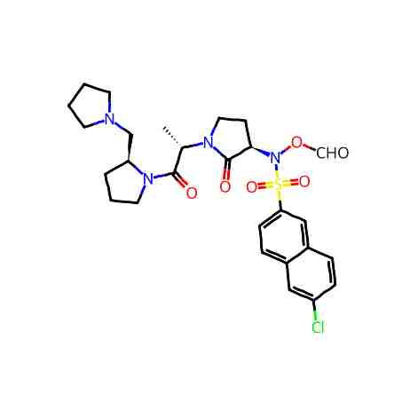 C[C@@H](C(=O)N1CCC[C@H]1CN1CCCC1)N1CC[C@@H](N(OC=O)S(=O)(=O)c2ccc3cc(Cl)ccc3c2)C1=O